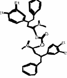 CCc1ccc(C(Cc2ccccc2)CC(OC(=O)OC(CC(Cc2ccccc2)c2ccc(CC)c(CC)c2)N(C)C)N(C)C)cc1CC